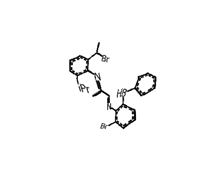 CC(/C=N/c1c(Br)cccc1Bc1ccccc1)=N\c1c(C(C)C)cccc1C(C)Br